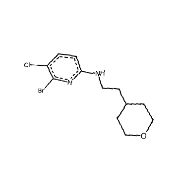 Clc1ccc(NCCC2CCOCC2)nc1Br